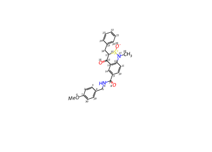 COc1ccc(CNC(=O)c2ccc3c(c2)C(=O)C(Cc2ccccc2)[S+]([O-])N3C)cc1